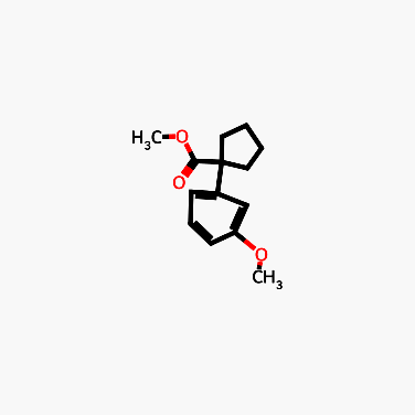 COC(=O)C1(c2cccc(OC)c2)CCCC1